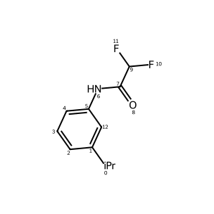 CC(C)c1cccc(NC(=O)C(F)F)c1